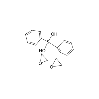 C1CO1.C1CO1.OS(O)(c1ccccc1)c1ccccc1